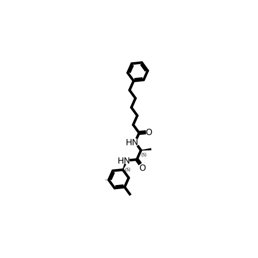 CC1=C[C]=C[C@@H](NC(=O)[C@H](C)NC(=O)CCCCCc2ccccc2)C1